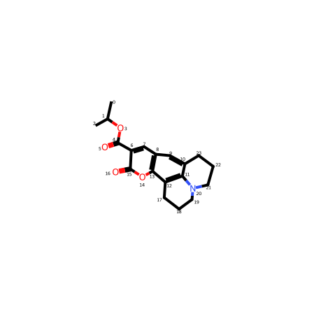 CC(C)OC(=O)c1cc2cc3c4c(c2oc1=O)CCCN4CCC3